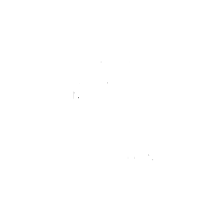 CCC(=O)Oc1onc(-c2ccccc2)c1-c1ccc(S(N)(=O)=O)cc1